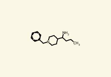 CCCC(N)C1CCN(Cc2ccccc2)CC1